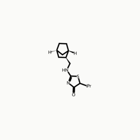 CC(C)C1SC(NC[C@H]2C[C@H]3CC[C@H]2C3)=NC1=O